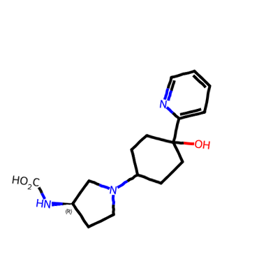 O=C(O)N[C@@H]1CCN(C2CCC(O)(c3ccccn3)CC2)C1